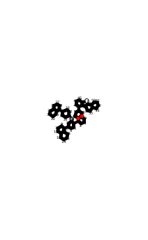 c1ccc(-c2ccc(-c3cccc4ccccc34)cc2N(c2ccc(-c3cccc4ccccc34)cc2)c2cccc(-c3cccc4oc5c6ccccc6ccc5c34)c2)cc1